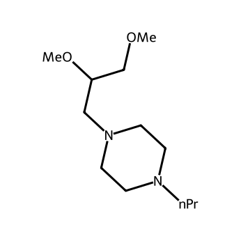 CCCN1CCN(CC(COC)OC)CC1